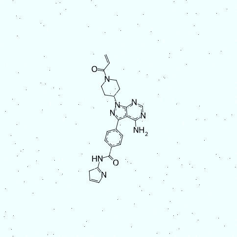 C=CC(=O)N1CCC(n2nc(-c3ccc(C(=O)NC4=NC=CC4)cc3)c3c(N)ncnc32)CC1